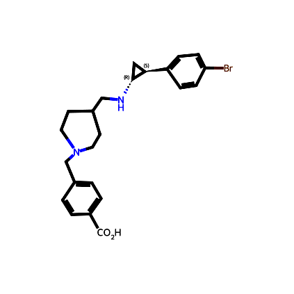 O=C(O)c1ccc(CN2CCC(CN[C@@H]3C[C@H]3c3ccc(Br)cc3)CC2)cc1